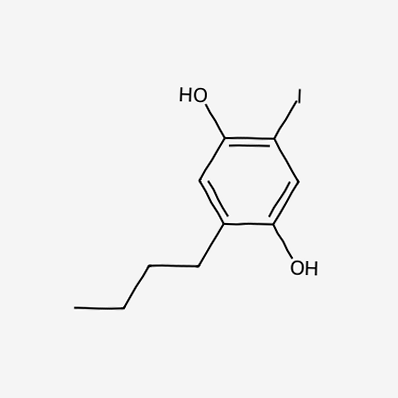 CCCCc1cc(O)c(I)cc1O